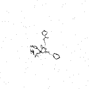 C[C@@]1(O)C[C@H](OCc2ccccc2)[C@@H](COC(=O)c2ccccc2)O1